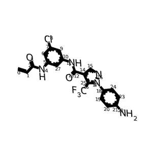 C=CC(=O)Nc1cc(Cl)cc(NC(=O)c2cnn(-c3ccc(N)cc3)c2C(F)(F)F)c1